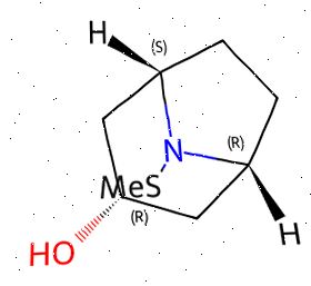 CSN1[C@@H]2CC[C@H]1C[C@@H](O)C2